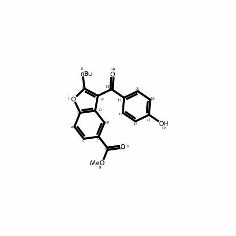 CCCCc1oc2ccc(C(=O)OC)cc2c1C(=O)c1ccc(O)cc1